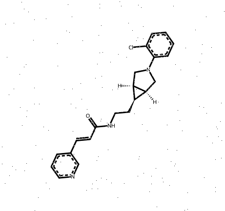 O=C(/C=C/c1cccnc1)NCC[C@H]1[C@H]2CN(c3ccccc3Cl)C[C@@H]12